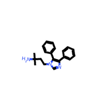 CC(C)(N)CCn1cnc(-c2ccccc2)c1-c1ccccc1